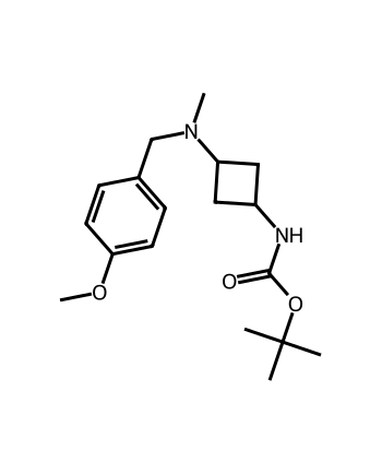 COc1ccc(CN(C)C2CC(NC(=O)OC(C)(C)C)C2)cc1